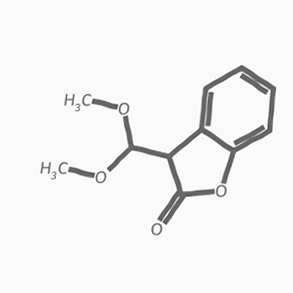 COC(OC)C1C(=O)Oc2ccccc21